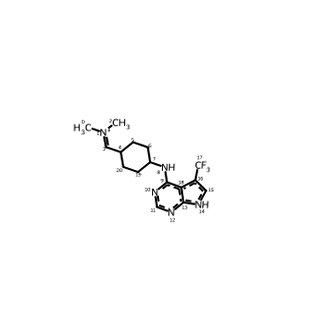 C[N+](C)=CC1CCC(Nc2ncnc3[nH]cc(C(F)(F)F)c23)CC1